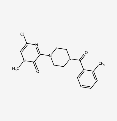 Cn1cc(Cl)nc(N2CCN(C(=O)c3ccccc3C(F)(F)F)CC2)c1=O